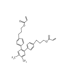 C=CC(=O)OCCCc1ccc(-c2cc(C(F)(F)F)c(C(F)(F)F)cc2-c2ccc(CCCOC(=O)C=C)cc2)cc1